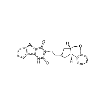 O=c1[nH]c2c(sc3ccccc32)c(=O)n1CCN1C[C@@H]2COc3ccccc3[C@@H]2C1